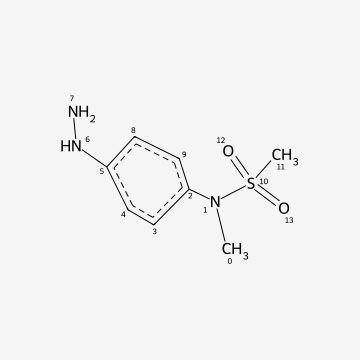 CN(c1ccc(NN)cc1)S(C)(=O)=O